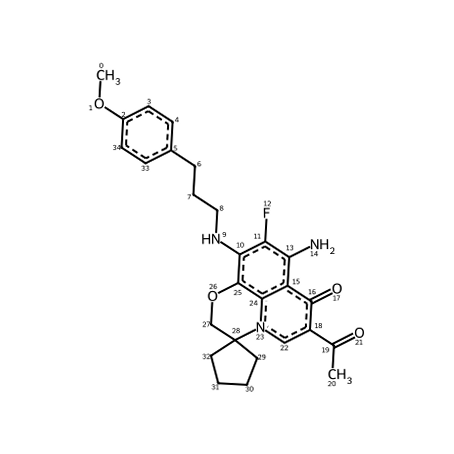 COc1ccc(CCCNc2c(F)c(N)c3c(=O)c(C(C)=O)cn4c3c2OCC42CCCC2)cc1